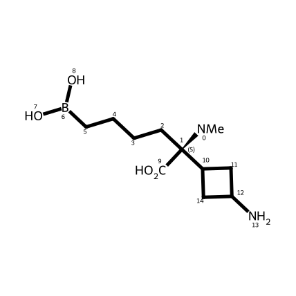 CN[C@](CCCCB(O)O)(C(=O)O)C1CC(N)C1